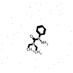 CCN(CC)C(=O)N(N)c1ccccc1